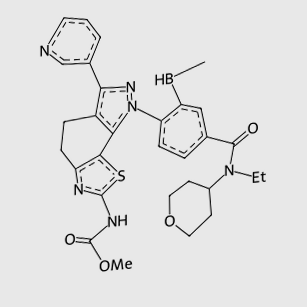 CBc1cc(C(=O)N(CC)C2CCOCC2)ccc1-n1nc(-c2cccnc2)c2c1-c1sc(NC(=O)OC)nc1CC2